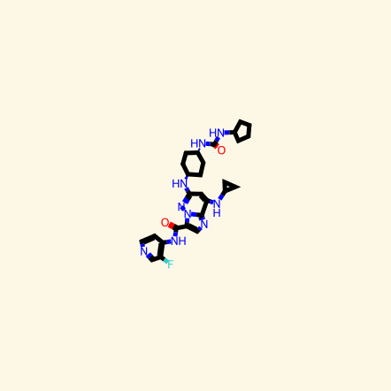 O=C(NC1CCCC1)N[C@H]1CC[C@H](Nc2cc(NC3CC3)c3ncc(C(=O)Nc4ccncc4F)n3n2)CC1